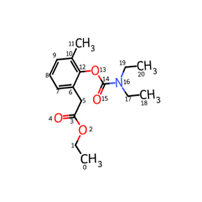 CCOC(=O)Cc1cccc(C)c1OC(=O)N(CC)CC